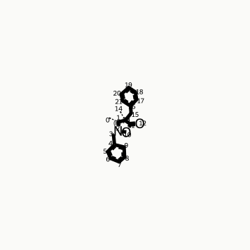 C[C@H]1N(Cc2ccccc2)OC(=O)[C@]1(C)Cc1ccccc1